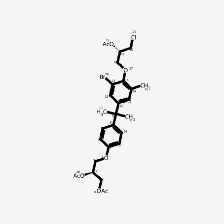 CC(=O)OC[C@H](COc1ccc(C(C)(C)c2cc(C)c(OC[C@@H](CCl)OC(C)=O)c(Br)c2)cc1)OC(C)=O